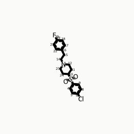 O=S(=O)(c1ccc(Cl)cc1)C1CCN(CCc2ccc(F)cc2)CC1